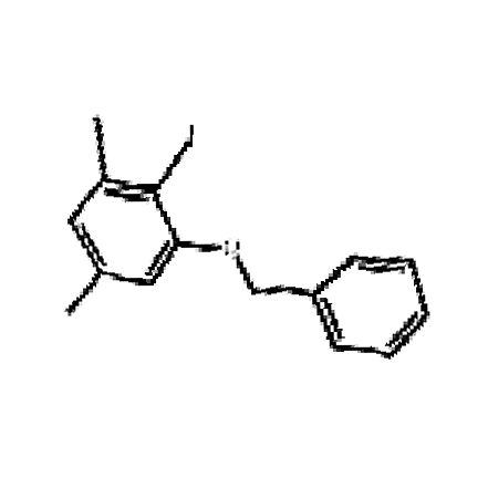 Cc1cc(C)c(I)c(OCc2ccccc2)c1